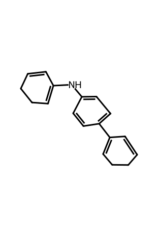 C1=CC(Nc2ccc(C3=CCCC=C3)cc2)=CCC1